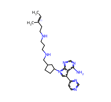 C/C=C(\C)CCNCCCNCC1CCC(n2cc(-c3ccncn3)c3c(N)ncnc32)C1